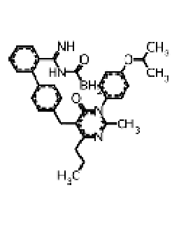 BC(=O)NC(=N)c1ccccc1-c1ccc(Cc2c(CCC)nc(C)n(-c3ccc(OC(C)C)cc3)c2=O)cc1